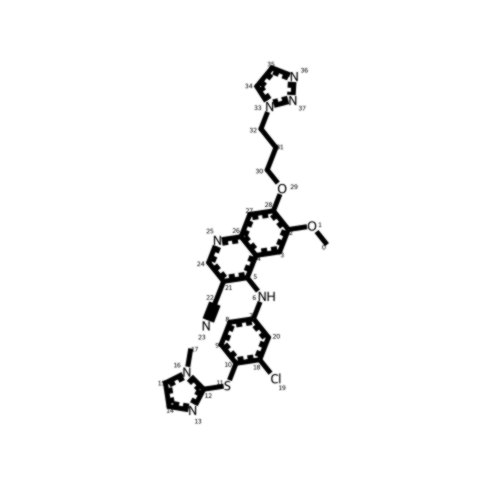 COc1cc2c(Nc3ccc(Sc4nccn4C)c(Cl)c3)c(C#N)cnc2cc1OCCCn1ccnn1